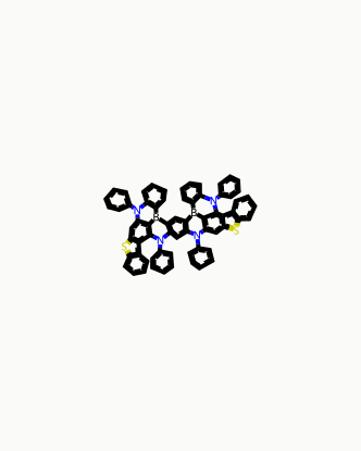 c1ccc(N2c3cc4c(cc3B3c5ccccc5N(c5ccccc5)c5c3c2cc2sc3ccccc3c52)B2c3ccccc3N(c3ccccc3)c3cc5sc6ccccc6c5c(c32)N4c2ccccc2)cc1